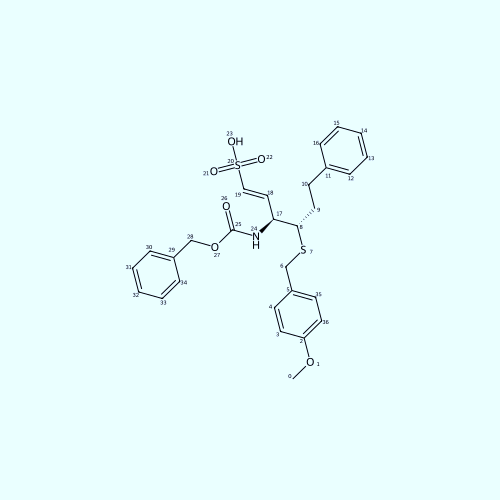 COc1ccc(CS[C@@H](CCc2ccccc2)[C@H](C=CS(=O)(=O)O)NC(=O)OCc2ccccc2)cc1